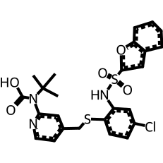 CC(C)(C)N(C(=O)O)c1cc(CSc2ccc(Cl)cc2NS(=O)(=O)c2cc3ccccc3o2)ccn1